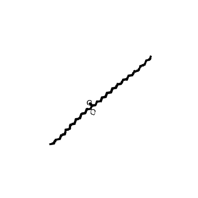 CCCCCCCCCCCCCCCCCCCCCCC(=O)C(=O)CCCCCCCCCCCCCCC